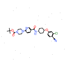 CC(C)(C)OC(=O)N1CCN(c2ccc(C(=O)N[C@H]3CC[C@H](Oc4ccc(C#N)c(Cl)c4)CC3)cn2)CC1